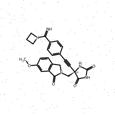 COc1ccc2c(c1)C(=O)N(C[C@@]1(C#Cc3ccc(C(=N)N4CCC4)cc3)NC(=O)NC1=O)C2